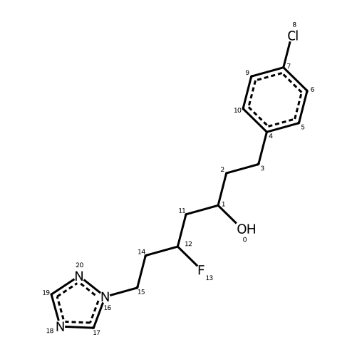 OC(CCc1ccc(Cl)cc1)CC(F)CCn1cncn1